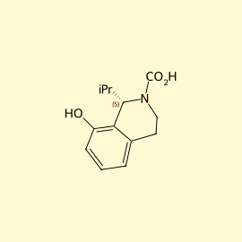 CC(C)[C@H]1c2c(O)cccc2CCN1C(=O)O